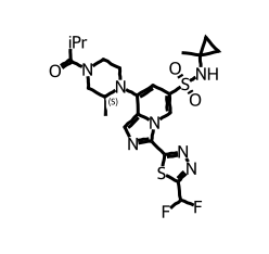 CC(C)C(=O)N1CCN(c2cc(S(=O)(=O)NC3(C)CC3)cn3c(-c4nnc(C(F)F)s4)ncc23)[C@@H](C)C1